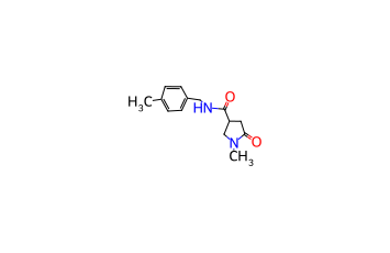 Cc1ccc(CNC(=O)C2CC(=O)N(C)C2)cc1